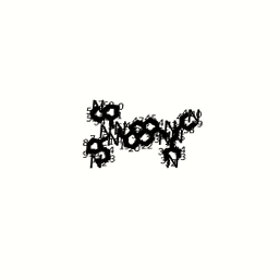 c1cc(-c2nc(-c3cccc4ncccc34)nc(-c3ccc4ccc5c(-c6nc(-c7ccncc7)nc(-c7ccncc7)n6)ccc6ccc3c4c65)n2)c2cccnc2c1